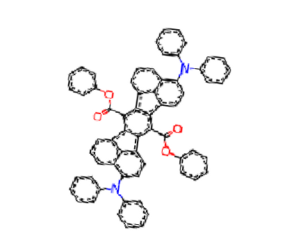 O=C(Oc1ccccc1)c1c2c3cccc4c(N(c5ccccc5)c5ccccc5)ccc(c2c(C(=O)Oc2ccccc2)c2c5ccc(N(c6ccccc6)c6ccccc6)c6cccc(c12)c65)c43